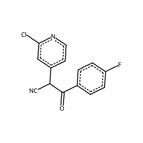 N#CC(C(=O)c1ccc(F)cc1)c1ccnc(Cl)c1